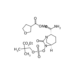 CCOC(=O)C(C)(C)COS(=O)(=O)ON1C(=O)N2C[C@H]1CC[C@H]2C(N)=O.COC(=O)C1CCOC1